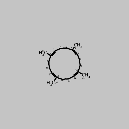 CC1=CCCC(C)=CCCC(C)=CCCC(C)=CCC1